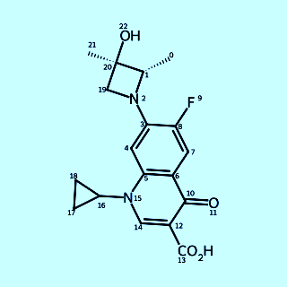 C[C@@H]1N(c2cc3c(cc2F)c(=O)c(C(=O)O)cn3C2CC2)C[C@@]1(C)O